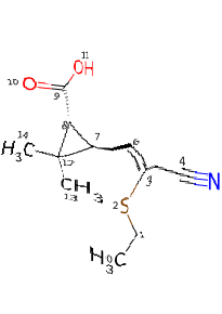 CCSC(C#N)=C[C@@H]1[C@@H](C(=O)O)C1(C)C